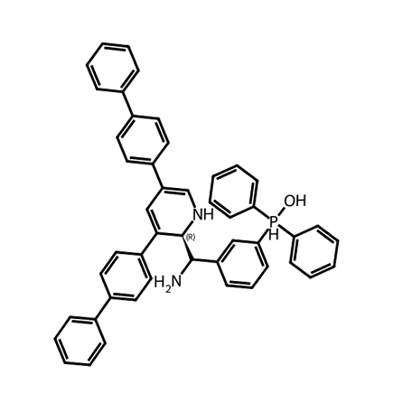 NC(c1cccc([PH](O)(c2ccccc2)c2ccccc2)c1)[C@@H]1NC=C(c2ccc(-c3ccccc3)cc2)C=C1c1ccc(-c2ccccc2)cc1